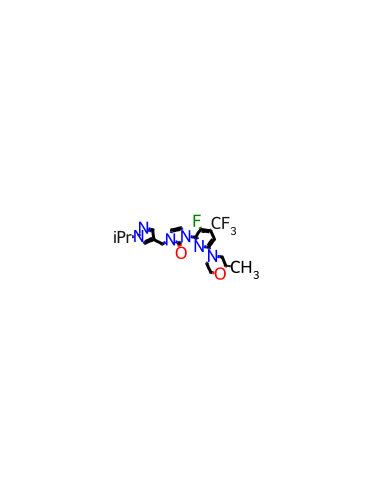 CC(C)n1cc(Cn2ccn(-c3nc(N4CCO[C@H](C)C4)cc(C(F)(F)F)c3F)c2=O)cn1